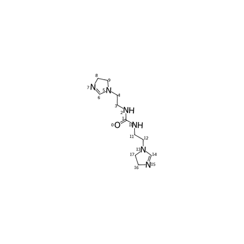 O=C(NCCN1C=NCC1)NCCN1C=NCC1